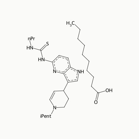 CCCCCCCCCC(=O)O.CCCNC(=S)Nc1ccc2[nH]cc(C3C=CN(C(C)CCC)CC3)c2n1